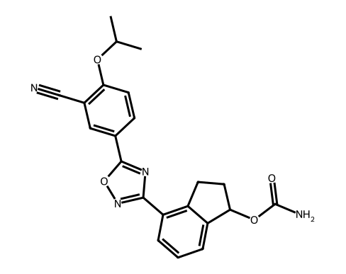 CC(C)Oc1ccc(-c2nc(-c3cccc4c3CCC4OC(N)=O)no2)cc1C#N